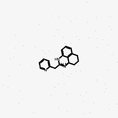 NC12CCCc3cccc(c31)NC(Cc1ccccn1)=N2